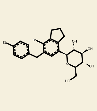 CCc1ccc(Cc2cc([C@@H]3O[C@H](CO)[C@@H](O)[C@H](O)[C@H]3O)c3c(c2Br)CCC3)cc1